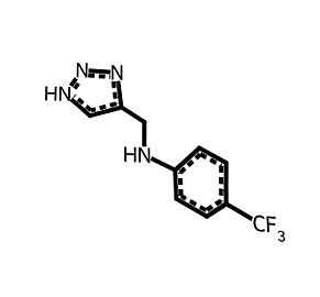 FC(F)(F)c1ccc(NCc2c[nH]nn2)cc1